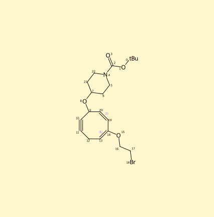 CC(C)(C)OC(=O)N1CCC(OC2C#CC/C=C(OCCBr)\C=C/2)CC1